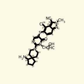 Cn1nc2ccc(Sc3cnc(N4CCC5(CCCC5N)CC4)n(C)c3=O)c(Cl)c2c1C#N.O=CO